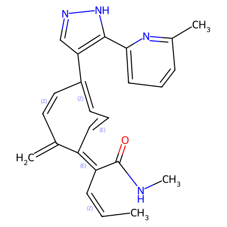 C=C1\C=C/C(c2cn[nH]c2-c2cccc(C)n2)=C/C=C/C1=C(/C=C\C)C(=O)NC